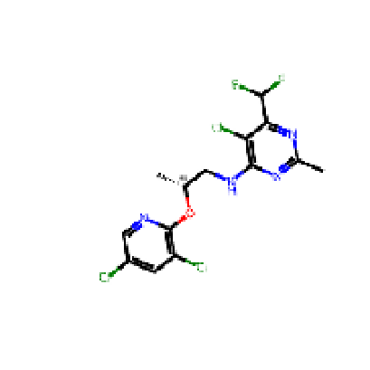 Cc1nc(NC[C@@H](C)Oc2ncc(Cl)cc2Cl)c(Cl)c(C(F)F)n1